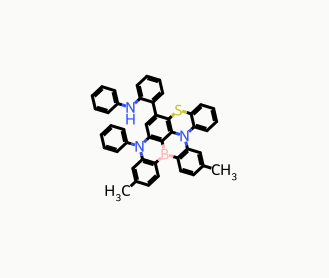 Cc1ccc2c(c1)N(c1ccccc1)c1cc(-c3ccccc3Nc3ccccc3)c3c4c1B2c1ccc(C)cc1N4c1ccccc1S3